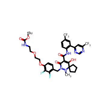 CN1N(Cc2ccc(OCCOCCNC(=O)OC(C)(C)C)c(F)c2F)C(=O)C(C(=O)Nc2ccc(C(F)(F)F)cc2-c2cc(C(F)(F)F)ncn2)=C(O)C12CCCC2